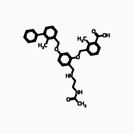 CC(=O)NCCNCc1ccc(OCc2cccc(-c3ccccc3)c2C)cc1OCc1cccc(C(=O)O)c1C